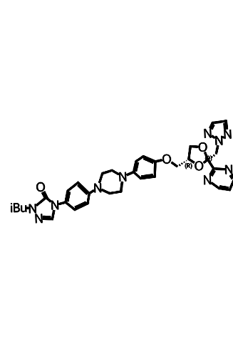 CCC(C)n1ncn(-c2ccc(N3CCN(c4ccc(OC[C@@H]5CO[C@@](Cn6nccn6)(c6ncccn6)O5)cc4)CC3)cc2)c1=O